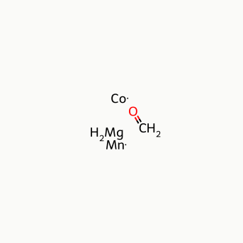 C=O.[Co].[MgH2].[Mn]